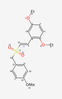 CCOc1ccc(OCC)c(/C=C/S(=O)(=O)Cc2ccc(OC)cc2)c1